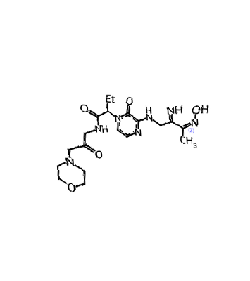 CCC(C(=O)NCC(=O)CN1CCOCC1)n1ccnc(NCC(=N)/C(C)=N\O)c1=O